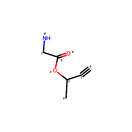 C#CC(C)OC(=O)C[NH]